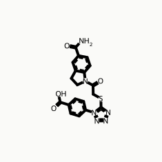 NC(=O)c1ccc2c(c1)CCN2C(=O)CSc1nnnn1-c1ccc(C(=O)O)cc1